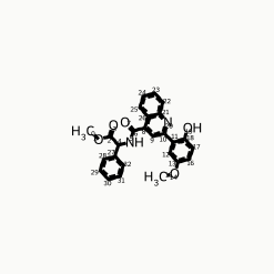 COC(=O)C(NC(=O)c1cc(-c2cc(OC)ccc2O)nc2ccccc12)c1ccccc1